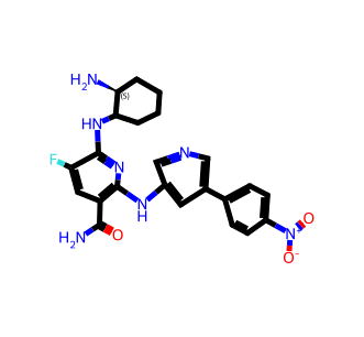 NC(=O)c1cc(F)c(NC2CCCC[C@@H]2N)nc1Nc1cncc(-c2ccc([N+](=O)[O-])cc2)c1